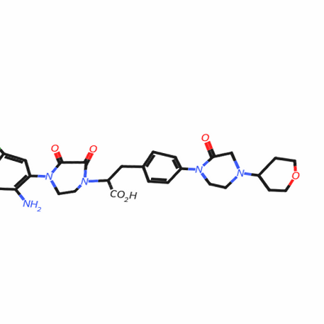 Nc1ccc(Cl)cc1N1CCN(C(Cc2ccc(N3CCN(C4CCOCC4)CC3=O)cc2)C(=O)O)C(=O)C1=O